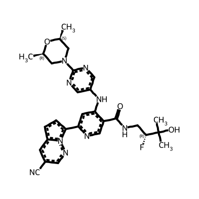 C[C@@H]1CN(c2ncc(Nc3cc(-c4ccc5cc(C#N)cnn45)ncc3C(=O)NC[C@@H](F)C(C)(C)O)cn2)C[C@H](C)O1